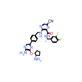 C[C@H](NC(=O)c1nc(C#N)cnc1NCc1ccc(-c2cnc(N)c(O[C@@H]3CCC[C@H]3N)n2)cc1)c1ccc(F)c(F)c1